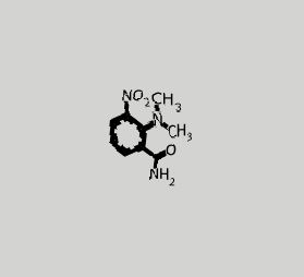 CN(C)c1c(C(N)=O)cccc1[N+](=O)[O-]